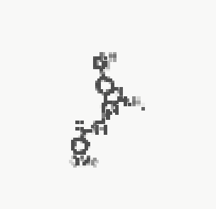 COc1ccc(C(=O)NCCn2cc3c(n2)c(N)nc2cc(-c4cc[nH]n4)ccc23)cc1